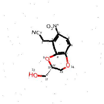 N#CCc1c([N+](=O)[O-])ccc2c1O[C@@H](CO)CO2